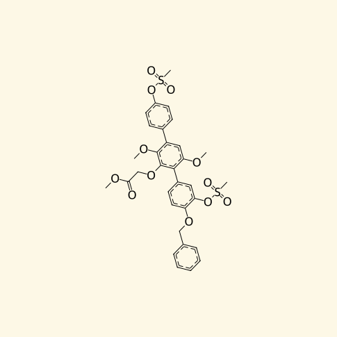 COC(=O)COc1c(OC)c(-c2ccc(OS(C)(=O)=O)cc2)cc(OC)c1-c1ccc(OCc2ccccc2)c(OS(C)(=O)=O)c1